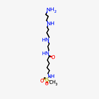 C[SH](=O)(C=O)NCCCCCC(=O)NCCCNCCCCNCCCN